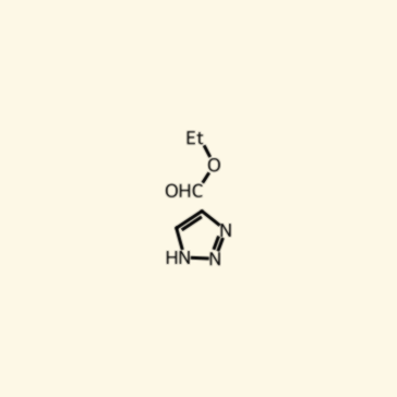 CCOC=O.c1c[nH]nn1